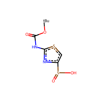 CC(C)(C)OC(=O)Nc1nc(S(=O)O)cs1